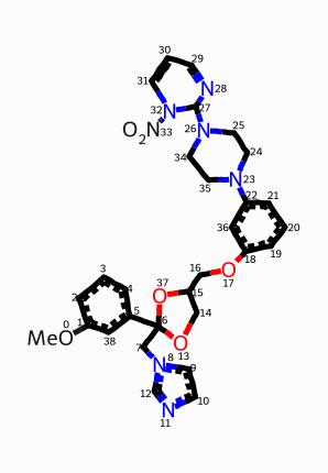 COc1cccc(C2(Cn3ccnc3)OCC(COc3cccc(N4CCN(C5N=CC=CN5[N+](=O)[O-])CC4)c3)O2)c1